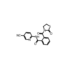 N#Cc1ccc(NC(=O)c2ccccc2C(=O)N2CCSC2=O)nc1